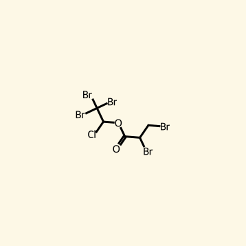 O=C(OC(Cl)C(Br)(Br)Br)C(Br)CBr